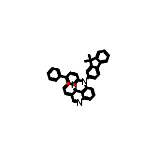 CC1(C)c2ccccc2-c2ccc(N(c3ccc(-c4ccccc4)cc3)c3cccc4ncc5cccnc5c34)cc21